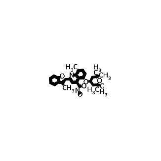 Cc1c(-c2cc(C(=O)N=O)c3c(OC4CC(C)(C)OC(C)(C)C4)ccc(C)c3n2)oc2ccccc12